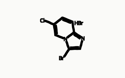 Br.Clc1ccc2ncc(Br)n2c1